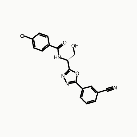 N#Cc1cccc(-c2nnc([C@@H](CO)NC(=O)c3ccc(Cl)cc3)o2)c1